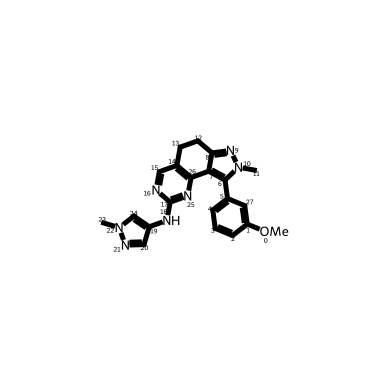 COc1cccc(-c2c3c(nn2C)CCc2cnc(Nc4cnn(C)c4)nc2-3)c1